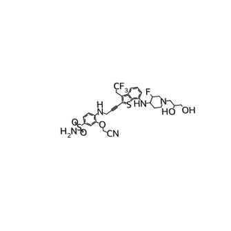 N#CCOc1cc(S(N)(=O)=O)ccc1NCC#Cc1sc2c(NC3CCN(CC(O)CO)CC3F)cccc2c1CC(F)(F)F